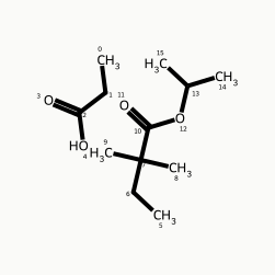 CCC(=O)O.CCC(C)(C)C(=O)OC(C)C